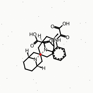 C[C@@H]1C[C@H]2CC1CC[C@H](N1[C@@H]3CCC[C@H]1C[C@@H](N(C(=O)C(=O)O)c1ccccc1NC(=O)C(=O)O)C3)C2